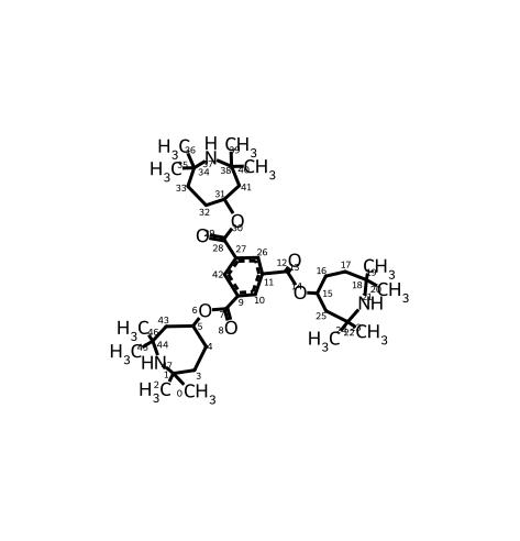 CC1(C)CCC(OC(=O)c2cc(C(=O)OC3CCC(C)(C)NC(C)(C)C3)cc(C(=O)OC3CCC(C)(C)NC(C)(C)C3)c2)CC(C)(C)N1